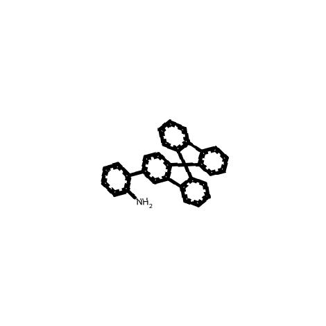 Nc1ccccc1-c1ccc2c(c1)-c1ccccc1C21c2ccccc2-c2ccccc21